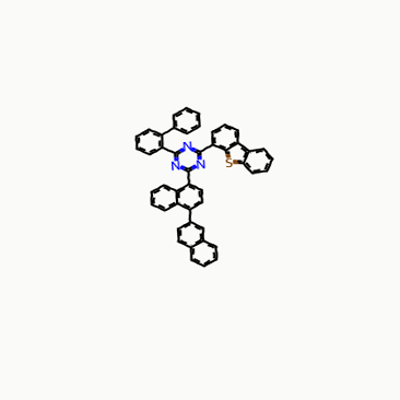 c1ccc(-c2ccccc2-c2nc(-c3ccc(-c4ccc5ccccc5c4)c4ccccc34)nc(-c3cccc4c3sc3ccccc34)n2)cc1